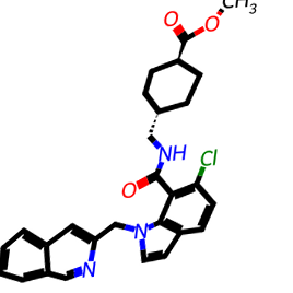 COC(=O)[C@H]1CC[C@H](CNC(=O)c2c(Cl)ccc3ccn(Cc4cc5ccccc5cn4)c23)CC1